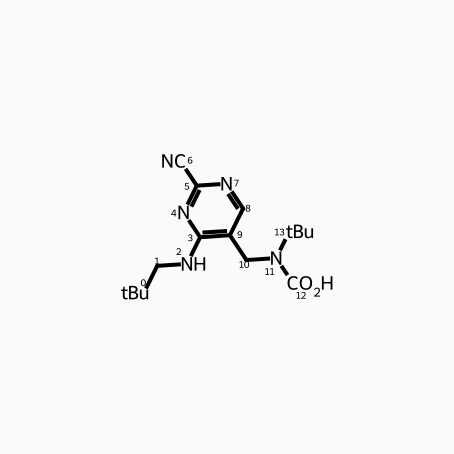 CC(C)(C)CNc1nc(C#N)ncc1CN(C(=O)O)C(C)(C)C